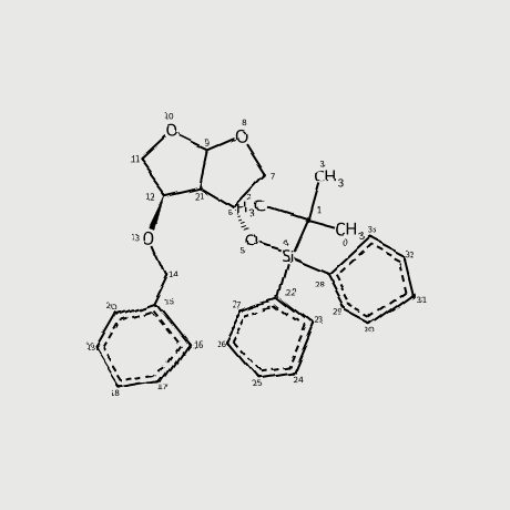 CC(C)(C)[Si](O[C@H]1COC2OC[C@H](OCc3ccccc3)C21)(c1ccccc1)c1ccccc1